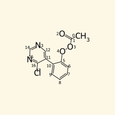 CC(=O)OOc1ccccc1-c1cncnc1Cl